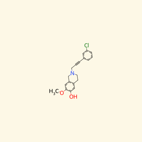 COc1cc2c(cc1O)CCN(CC#Cc1cccc(Cl)c1)C2